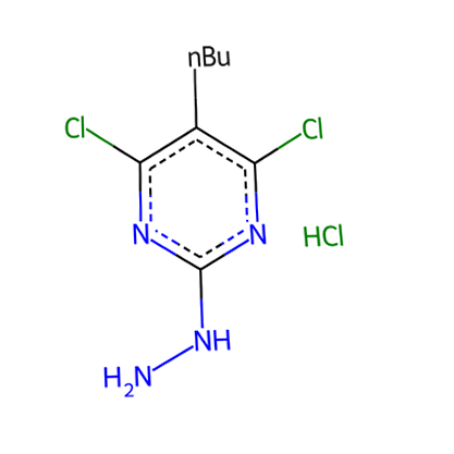 CCCCc1c(Cl)nc(NN)nc1Cl.Cl